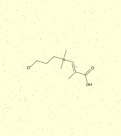 C/C(=C\[Si](C)(C)CCCCl)C(=O)O